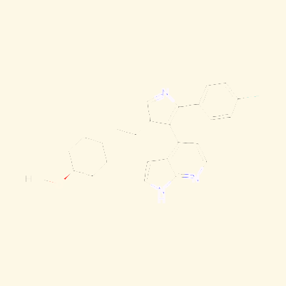 CO[C@H]1CC[C@H](CCC2C=NC(c3ccc(F)cc3)=C2c2ccnc3[nH]ccc23)CC1